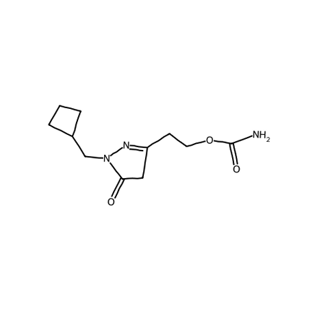 NC(=O)OCCC1=NN(CC2CCC2)C(=O)C1